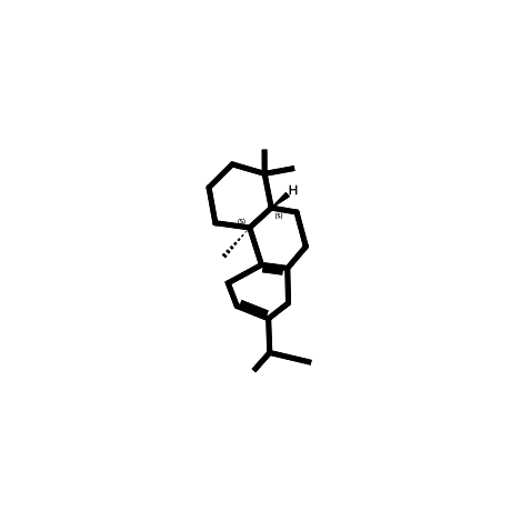 CC(C)C1=CCC2=C(CC[C@H]3C(C)(C)CCC[C@]23C)C1